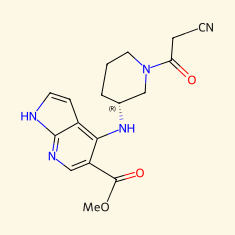 COC(=O)c1cnc2[nH]ccc2c1N[C@@H]1CCCN(C(=O)CC#N)C1